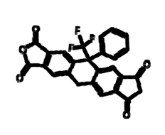 O=C1CC(=O)c2cc3c(cc21)Cc1cc2c(cc1C3(c1ccccc1)C(F)(F)F)C(=O)OC2=O